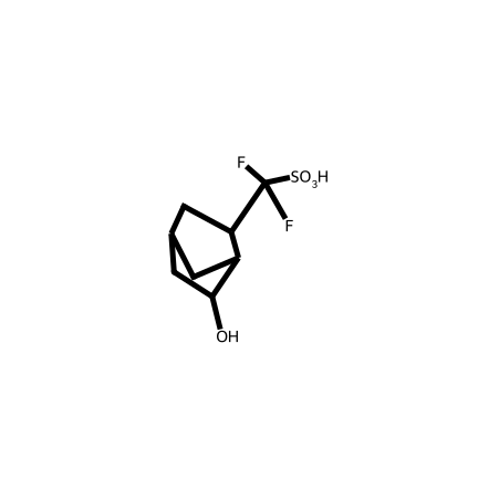 O=S(=O)(O)C(F)(F)C1CC2CC(O)C1C2